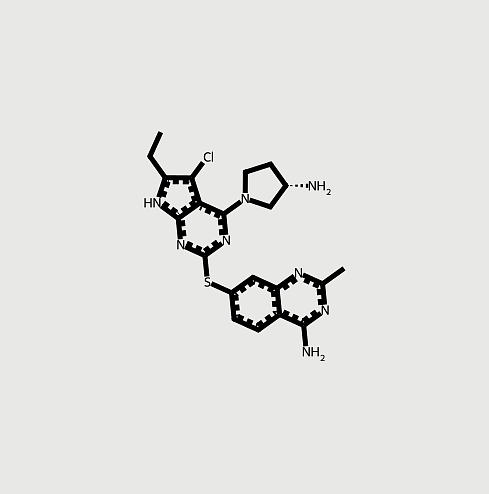 CCc1[nH]c2nc(Sc3ccc4c(N)nc(C)nc4c3)nc(N3CC[C@H](N)C3)c2c1Cl